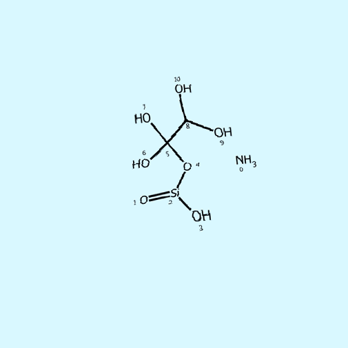 N.O=[Si](O)OC(O)(O)C(O)O